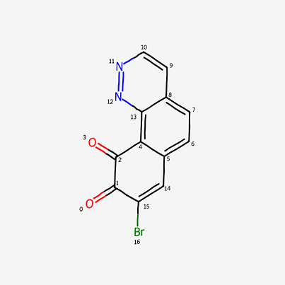 O=C1C(=O)c2c(ccc3ccnnc23)C=C1Br